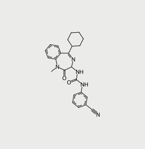 CN1C(=O)C(NC(=O)Nc2cccc(C#N)c2)N=C(C2CCCCC2)c2ccccc21